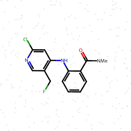 CNC(=O)c1ccccc1Nc1cc(Cl)ncc1CF